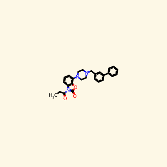 CCC(=O)n1c(=O)oc2c(N3CCN(Cc4cccc(-c5ccccc5)c4)CC3)cccc21